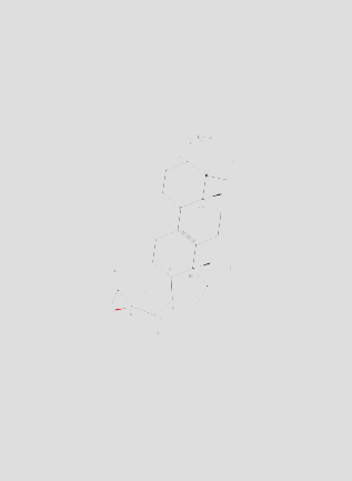 CO[C@H]1CC[C@]2(C)C3=C(CC[C@H]2C1(C)C)[C@]1(C)CC[C@H]([C@H](C)[C@H]2O[C@@H]2C=O)[C@@]1(C)CC3